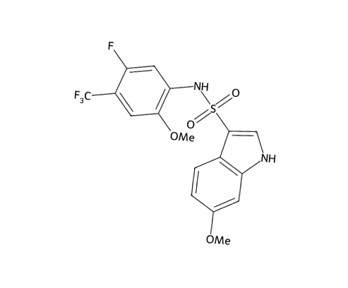 COc1ccc2c(S(=O)(=O)Nc3cc(F)c(C(F)(F)F)cc3OC)c[nH]c2c1